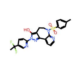 Cc1ccc(S(=O)(=O)N2CCc3c(nn(-c4ccc(C(C)(F)F)cn4)c3O)-c3cccnc32)cc1